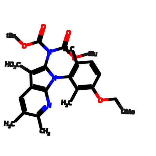 COCOc1ccc(C)c(-n2c(N(C(=O)OC(C)(C)C)C(=O)OC(C)(C)C)c(C(=O)O)c3cc(C)c(C)nc32)c1C